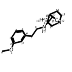 COc1cccc(CCN[C@@H]2CN3CCC2CC3)c1